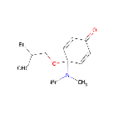 CCC(C=O)COC1(N(C)C(C)C)C=CC(=O)C=C1